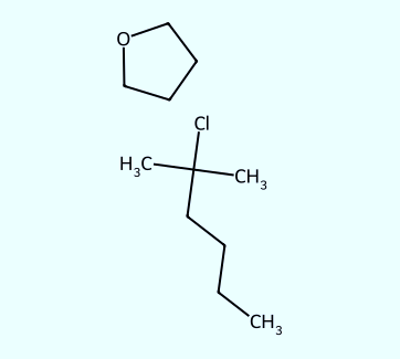 C1CCOC1.CCCCC(C)(C)Cl